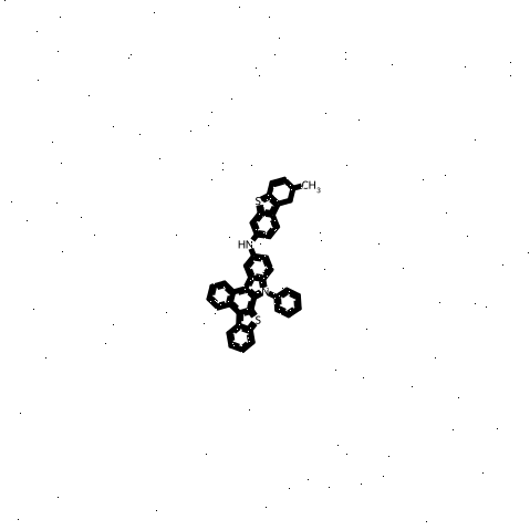 CC1C=Cc2sc3cc(Nc4ccc5c(c4)c4c6ccccc6c6c7ccccc7sc6c4n5-c4ccccc4)ccc3c2C1